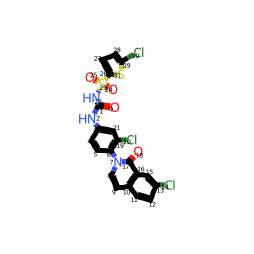 O=C(Nc1ccc(-n2ccc3ccc(Cl)cc3c2=O)c(Cl)c1)NS(=O)(=O)c1ccc(Cl)s1